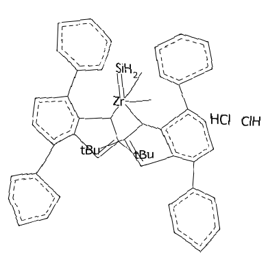 CC(C)(C)C1=Cc2c(-c3ccccc3)ccc(-c3ccccc3)c2[CH]1[Zr]([CH3])([CH3])(=[SiH2])[CH]1C(C(C)(C)C)=Cc2c(-c3ccccc3)ccc(-c3ccccc3)c21.Cl.Cl